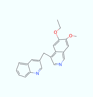 CCOc1cc2c(Cc3cnc4ccccc4c3)cncc2cc1OC